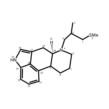 CSCC(C)CN1CCCC2c3cccc4[nH]cc(c34)C[C@H]21